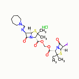 CC1(C)S[C@@H]2[C@H](I)C(=O)N2[C@H]1C(=O)OCOC(=O)[C@@H]1N2C(=O)[C@@H](N=CN3CCCCCC3)[C@H]2SC1(C)C.Cl